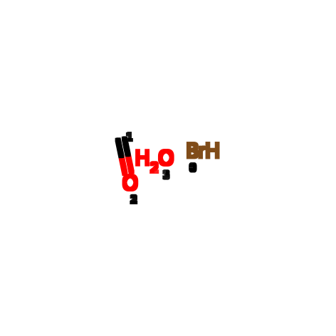 Br.C=O.O